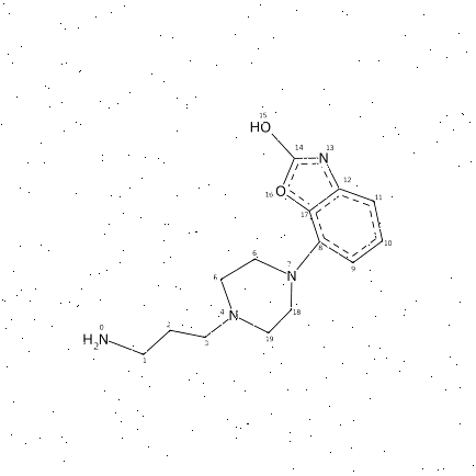 NCCCN1CCN(c2cccc3nc(O)oc23)CC1